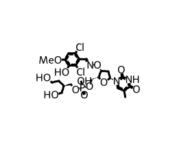 COc1cc(Cl)c(/C=N/O[C@@H]2C[C@H](n3cc(C)c(=O)[nH]c3=O)O[C@@H]2COP(=O)(O)OC[C@@H](CO)CCO)c(Cl)c1O